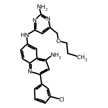 CCCOCc1cc(Nc2ccc3nc(-c4cccc(Cl)c4)cc(N)c3c2)nc(N)n1